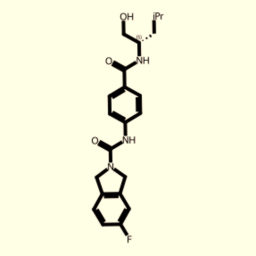 CC(C)C[C@@H](CO)NC(=O)c1ccc(NC(=O)N2Cc3ccc(F)cc3C2)cc1